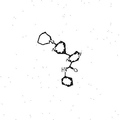 O=C(Nc1ccccc1)c1cncc(-c2ccc(N3CCCCC3)nc2)n1